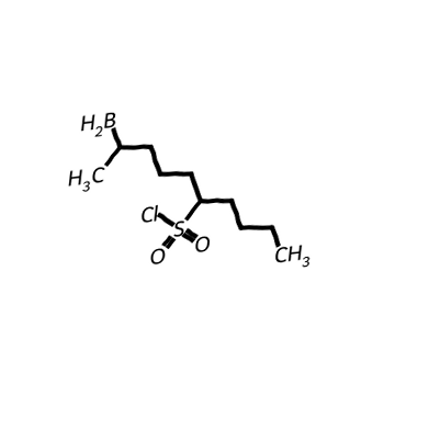 BC(C)CCCC(CCCC)S(=O)(=O)Cl